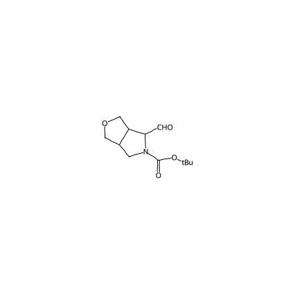 CC(C)(C)OC(=O)N1CC2COCC2C1C=O